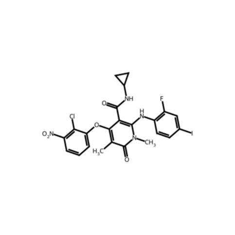 Cc1c(Oc2cccc([N+](=O)[O-])c2Cl)c(C(=O)NC2CC2)c(Nc2ccc(I)cc2F)n(C)c1=O